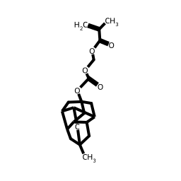 C=C(C)C(=O)OCOC(=O)OC12CC3C4CC5(C)CC3C(C1)C(C5)C4C2